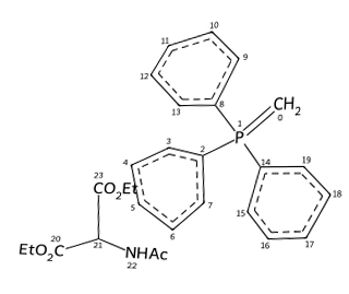 C=P(c1ccccc1)(c1ccccc1)c1ccccc1.CCOC(=O)C(NC(C)=O)C(=O)OCC